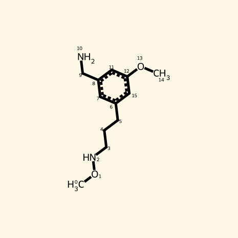 CONCCCc1cc(CN)cc(OC)c1